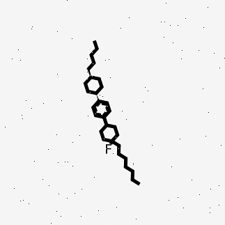 CCCCCCCC1(F)CCC(c2ccc([C@H]3CC[C@H](CCCCC)CC3)cc2)CC1